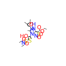 CCOC(=O)C1=C(N[C@@H](c2cc(C)c(C)o2)C(C)C)C(Nc2csc(S(=O)(=O)N(CC)CC)c2O)=NS1(=O)=O